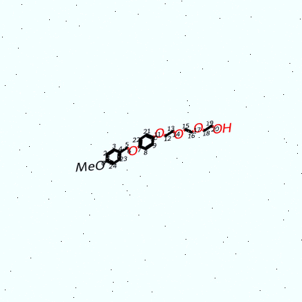 COc1ccc(COc2ccc(OCCOCCOCCO)cc2)cc1